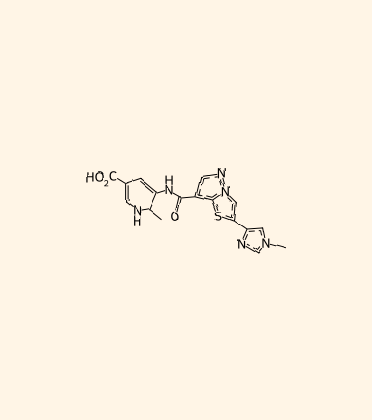 CC1NC=C(C(=O)O)C=C1NC(=O)c1cnn2cc(-c3cn(C)cn3)sc12